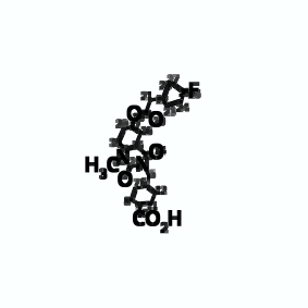 Cn1c(=O)n(Cc2ccc(C(=O)O)cc2)c(=O)c2cc(OC(=O)Cc3ccc(F)cc3)ccc21